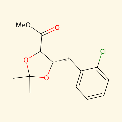 COC(=O)C1OC(C)(C)O[C@H]1Cc1ccccc1Cl